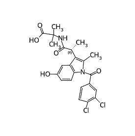 Cc1c([C@@H](C)C(=O)NC(C)(C)C(=O)O)c2cc(O)ccc2n1C(=O)c1ccc(Cl)c(Cl)c1